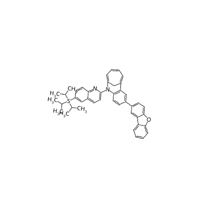 CC(C)S(c1ccc2nc(N3C4=CC=CC=C(C4)c4cc(-c5ccc6oc7ccccc7c6c5)ccc43)ccc2c1)(C(C)C)C(C)C